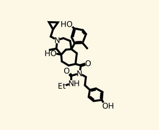 CCNC(=O)N(CCc1ccc(O)cc1)C(=O)C1CCC2(O)CC(c3cc(O)ccc3C)(CCN(CC3CC3)C2C)C1